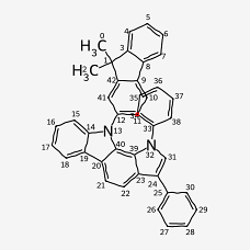 CC1(C)c2ccccc2-c2ccc(-n3c4ccccc4c4ccc5c(-c6ccccc6)cn(-c6ccccc6)c5c43)cc21